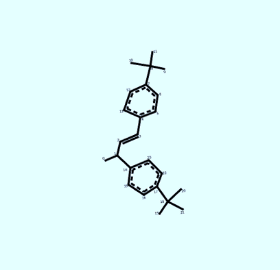 CC(/C=C/c1ccc(C(C)(C)C)cc1)c1ccc(C(C)(C)C)cc1